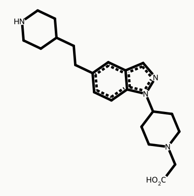 O=C(O)CN1CCC(n2ncc3cc(CCC4CCNCC4)ccc32)CC1